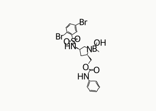 CB(O)N1C[C@H](NS(=O)(=O)c2cc(Br)ccc2Br)C[C@@H]1COC(=O)Nc1ccccc1